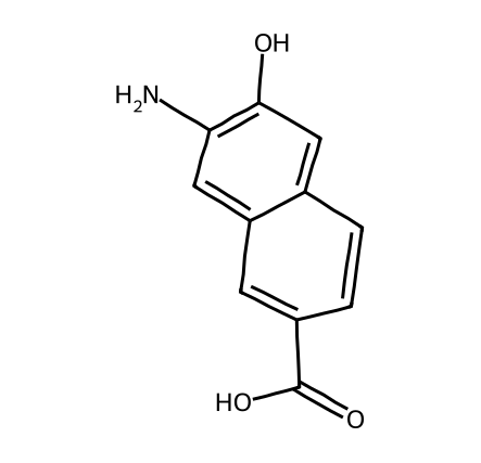 Nc1cc2cc(C(=O)O)ccc2cc1O